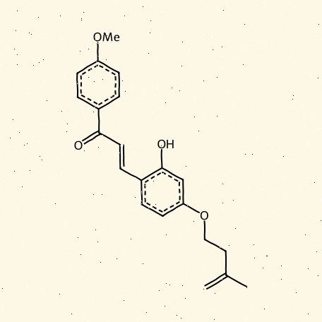 C=C(C)CCOc1ccc(/C=C/C(=O)c2ccc(OC)cc2)c(O)c1